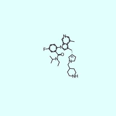 CCN(C(=O)c1cc(F)ccc1-n1cc(C[C@@H]2CCN(CC3CCNCC3)C2)c2c(C)cncc21)C(C)C